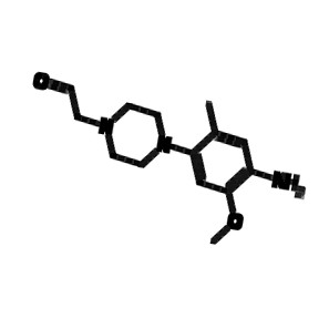 COc1cc(N2CCN(CC=O)CC2)c(C)cc1N